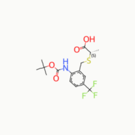 C[C@H](SCc1cc(C(F)(F)F)ccc1NC(=O)OC(C)(C)C)C(=O)O